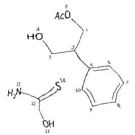 CC(=O)OCC(CO)c1ccccc1.NC(O)=S